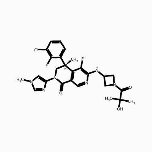 Cn1cnc(N2C[C@](C)(c3cccc(Cl)c3F)c3c(cnc(NC4CN(C(=O)C(C)(C)O)C4)c3F)C2=O)c1